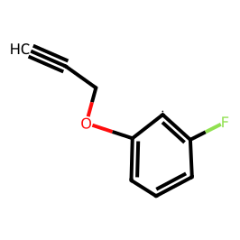 C#CCOc1[c]c(F)ccc1